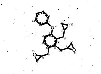 c1ccc(Oc2ccc(CC3CO3)c(CC3CO3)c2CC2CO2)cc1